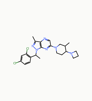 Cc1nn(C(C)c2ccc(Cl)cc2Cl)c2nc(N3CCC(N4CCC4)C(C)C3)cnc12